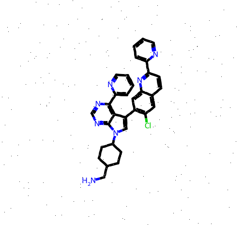 NCC1CCC(n2cc(-c3cc4nc(-c5ccccn5)ccc4cc3Cl)c3c(-c4ccccn4)ncnc32)CC1